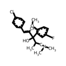 COc1ccc(F)cc1C(O)(C(C)=Cc1ccc(Cl)cc1)C(C)CN(C)C